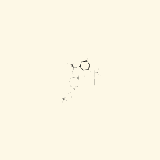 Cc1cc(NC(C)C)c2c(c1)C(=O)CC1(CCN(C(=O)OC(C)(C)C)CC1)O2